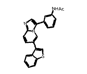 CC(=O)Nc1cccc(-c2cnc3ccc(-c4csc5ccccc45)cn23)c1